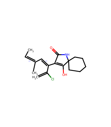 C=C(Cl)/C(=C\C(C)=C/C)C1=C(O)C2(CCCCC2)NC1=O